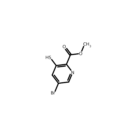 COC(=O)c1ncc(Br)cc1S